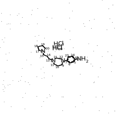 Cl.Cl.Cl.Nc1ccc(N2CCCN(CCCN3CCCC3)CC2)cc1